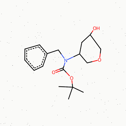 CC(C)(C)OC(=O)N(Cc1ccccc1)C1COCC(O)C1